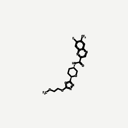 O=C(N[C@H]1CC[C@H](c2nnc(OCCOC(F)(F)F)o2)OC1)c1cnc2cc(C(F)(F)F)c(F)cc2n1